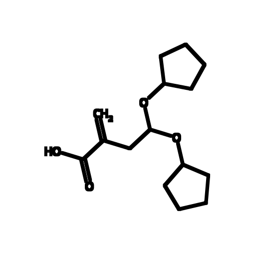 C=C(CC(OC1CCCC1)OC1CCCC1)C(=O)O